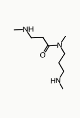 CNCCCN(C)C(=O)CCNC